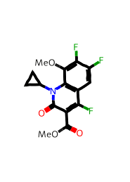 COC(=O)c1c(F)c2cc(F)c(F)c(OC)c2n(C2CC2)c1=O